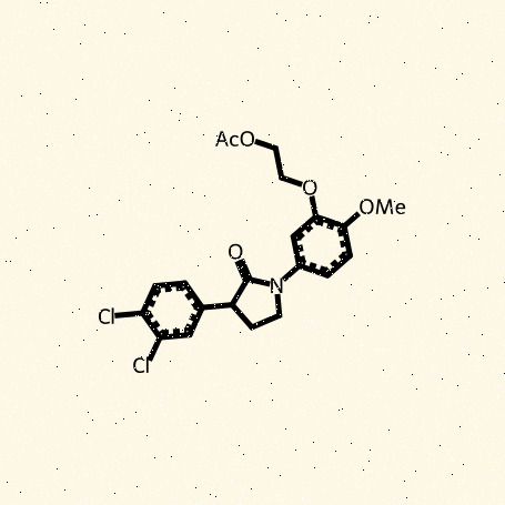 COc1ccc(N2CCC(c3ccc(Cl)c(Cl)c3)C2=O)cc1OCCOC(C)=O